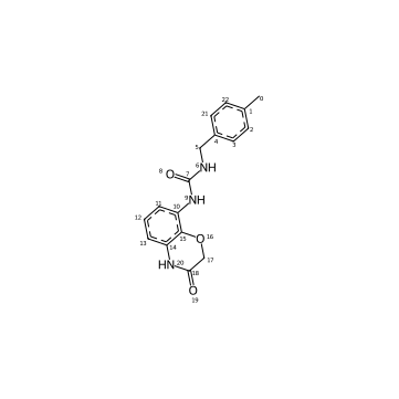 Cc1ccc(CNC(=O)Nc2cccc3c2OCC(=O)N3)cc1